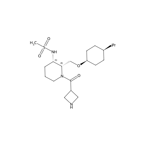 CC(C)[C@H]1CC[C@@H](OC[C@H]2[C@@H](NS(C)(=O)=O)CCCN2C(=O)C2CNC2)CC1